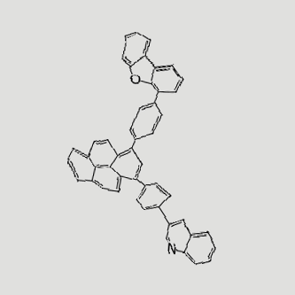 c1ccc2ncc(-c3ccc(-c4cc(-c5ccc(-c6cccc7c6oc6ccccc67)cc5)c5ccc6cccc7ccc4c5c76)cc3)cc2c1